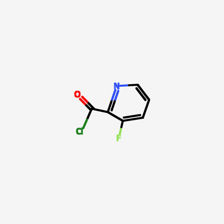 O=C(Cl)c1ncccc1F